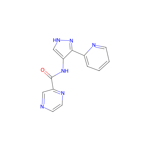 O=C(Nc1c[nH]nc1-c1ccccn1)c1cnccn1